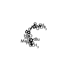 COc1c(NC(=O)Nc2ccc(OCCN3CCN(CC(=O)N(C)C)C(=O)C3)c3c2CCC3)cc(C(C)(C)C)cc1NS(C)(=O)=O